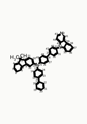 CC1(C)c2ccccc2-c2cc(N(c3ccc(-c4ccccc4)cc3)c3ccc(-c4ccc(-n5c6ccccc6c6cnccc65)cc4)cc3)ccc21